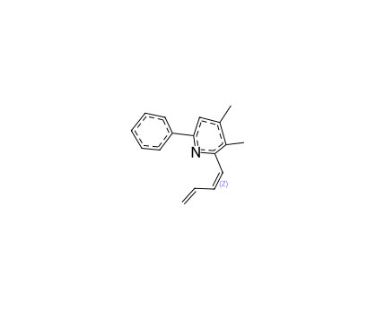 C=C/C=C\c1nc(-c2ccccc2)cc(C)c1C